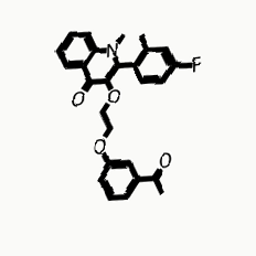 CC(=O)c1cccc(OCCOc2c(-c3ccc(F)cc3C)n(C)c3ccccc3c2=O)c1